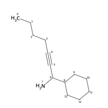 CCCCC#CC(N)C1CCCCC1